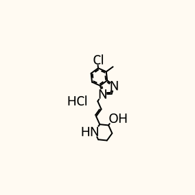 Cc1c(Cl)ccc2c1ncn2C/C=C/C1NCCCC1O.Cl